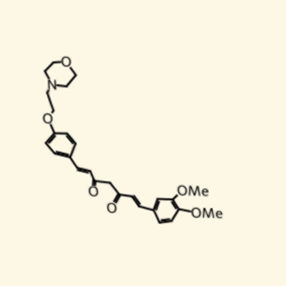 COc1ccc(C=CC(=O)CC(=O)C=Cc2ccc(OCCN3CCOCC3)cc2)cc1OC